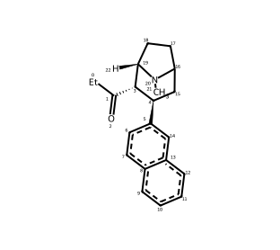 CCC(=O)[C@H]1[C@H](c2ccc3ccccc3c2)CC2CC[C@@H]1N2C